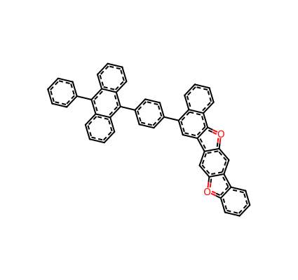 c1ccc(-c2c3ccccc3c(-c3ccc(-c4cc5c6cc7oc8ccccc8c7cc6oc5c5ccccc45)cc3)c3ccccc23)cc1